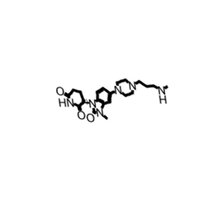 CNCCCN1CCN(c2ccc3c(c2)n(C)c(=O)n3[C@@H]2CCC(=O)NC2=O)CC1